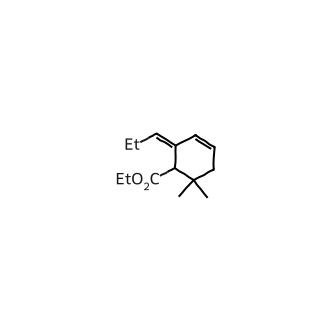 CC/C=C1/C=CCC(C)(C)C1C(=O)OCC